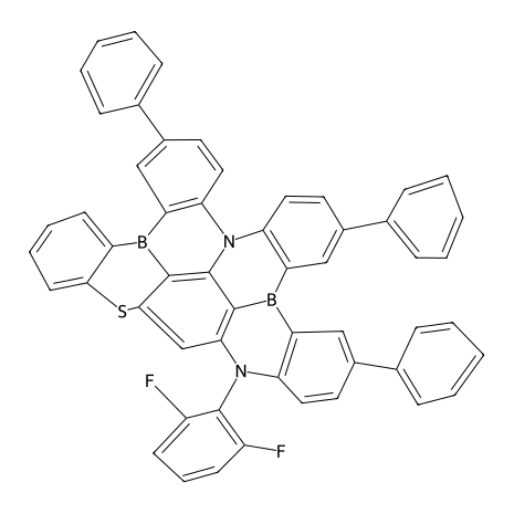 Fc1cccc(F)c1N1c2ccc(-c3ccccc3)cc2B2c3cc(-c4ccccc4)ccc3N3c4ccc(-c5ccccc5)cc4B4c5ccccc5Sc5cc1c2c3c54